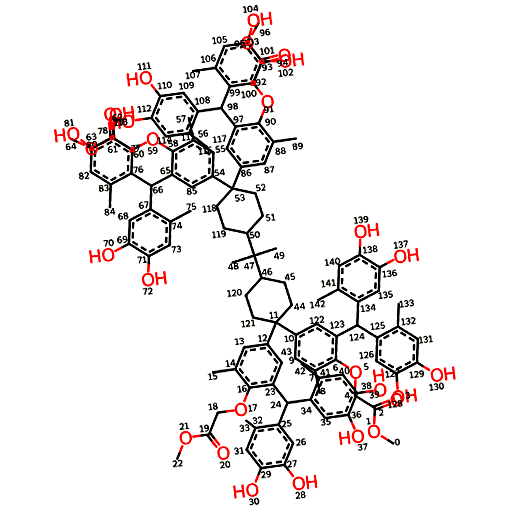 COC(=O)COc1c(C)cc(C2(c3cc(C)c(OCC(=O)OC)c(C(c4cc(O)c(O)cc4C)c4cc(O)c(O)cc4C)c3)CCC(C(C)(C)C3CCC(c4cc(C)c(OCC(=O)OC)c(C(c5cc(O)c(O)cc5C)c5cc(O)c(O)cc5C)c4)(c4cc(C)c(OCC(=O)OC)c(C(c5cc(O)c(O)cc5C)c5cc(O)c(O)cc5C)c4)CC3)CC2)cc1C(c1cc(O)c(O)cc1C)c1cc(O)c(O)cc1C